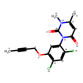 CC#CCOc1cc(-n2c(=O)cc(C(F)(F)F)n(C)c2=O)c(F)cc1Cl